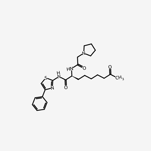 CC(=O)CCCCC[C@H](NC(=O)CN1CCCC1)C(=O)Nc1nc(-c2ccccc2)cs1